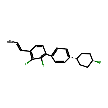 CCCCC=Cc1ccc(-c2ccc([C@H]3CC[C@H](F)CC3)cc2)c(F)c1F